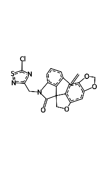 C=Cc1cccc2c1C1(COc3cc4c(cc31)OCO4)C(=O)N2Cc1nsc(Cl)n1